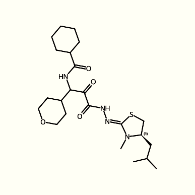 CC(C)C[C@@H]1CSC(=NNC(=O)C(=O)C(NC(=O)C2CCCCC2)C2CCOCC2)N1C